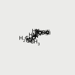 [CH2]C1CN(c2ccc3nc(-c4n[nH]c5cc(OCc6ccccc6)ccc45)[nH]c3c2)C(C)CO1